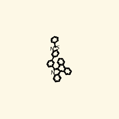 c1ccc(-c2nc3cc(-c4cccc(-c5nc6ccccc6c6c7ccccc7c7ccccc7c56)c4)ccc3s2)cc1